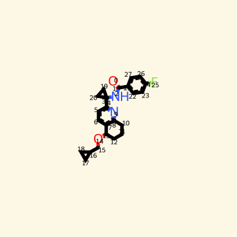 O=C(NC1(c2ccc3c(n2)CCCC3OCC2CC2)CC1)c1ccc(F)cc1